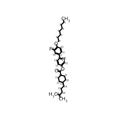 CCCCCCCCOc1ccc(-c2ccc(OC(=O)C3CCC(CCCC(C)C)CC3)cn2)cc1F